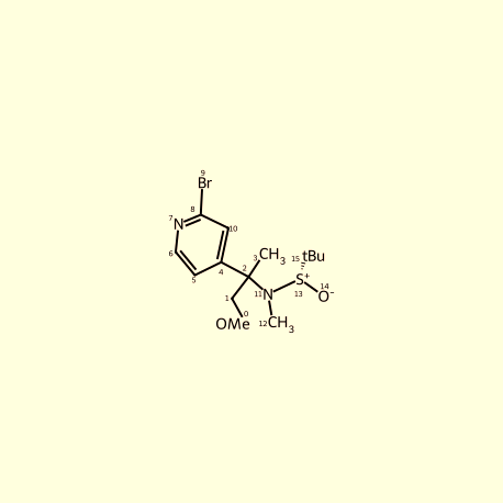 COCC(C)(c1ccnc(Br)c1)N(C)[S@@+]([O-])C(C)(C)C